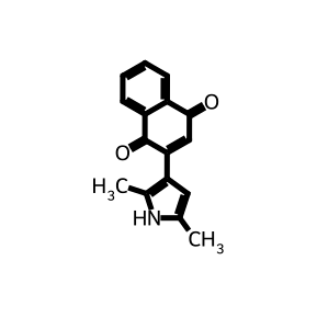 Cc1cc(C2=CC(=O)c3ccccc3C2=O)c(C)[nH]1